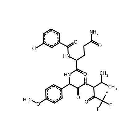 COc1ccc(C(NC(=O)C(CCC(N)=O)NC(=O)c2cccc(Cl)c2)C(=O)NC(C(=O)C(F)(F)F)C(C)C)cc1